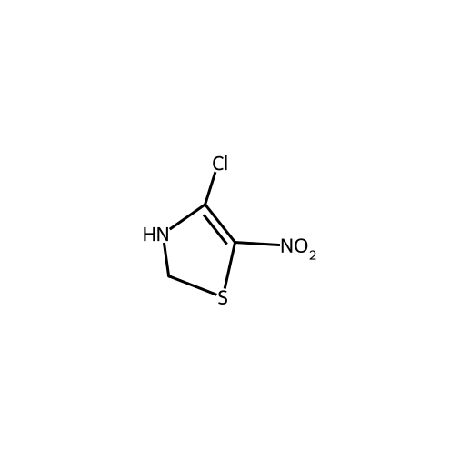 O=[N+]([O-])C1=C(Cl)NCS1